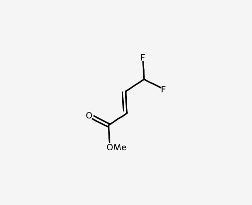 COC(=O)C=CC(F)F